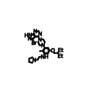 CCC(CC)COc1cc(NCCN2CCCC2)c(C)c(N2CCN(c3ncnc4[nH]nc(Br)c34)CC2)c1